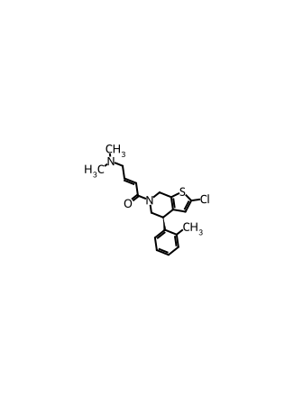 Cc1ccccc1[C@H]1CN(C(=O)/C=C/CN(C)C)Cc2sc(Cl)cc21